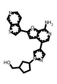 Nc1ncc(-c2cnn(C3CCC(CO)C3)c2)c2cc(-c3csc4cnccc34)oc12